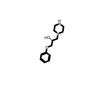 O[C@@H](COc1ccccc1)CN1CCNCC1